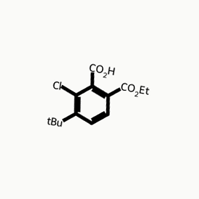 CCOC(=O)c1ccc(C(C)(C)C)c(Cl)c1C(=O)O